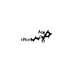 CCCCCCCCCCCCOC(=O)[C@@H]1CCCN1C(C)=O